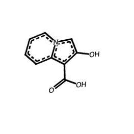 O=C(O)c1c(O)cn2ccccc12